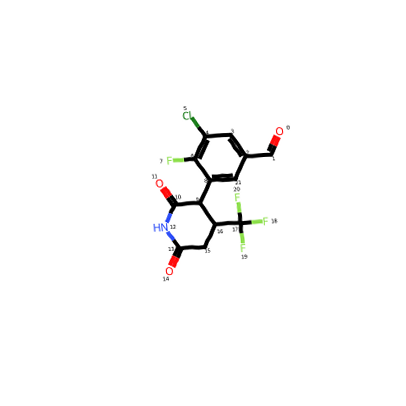 O=Cc1cc(Cl)c(F)c(C2C(=O)NC(=O)CC2C(F)(F)F)c1